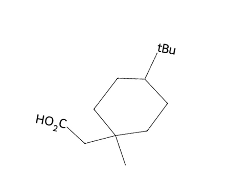 CC1(CC(=O)O)CCC(C(C)(C)C)CC1